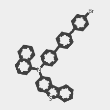 Brc1ccc(-c2ccc(-c3ccc(N(c4ccc5sc6ccccc6c5c4)c4cccc5ccccc45)cc3)cc2)cc1